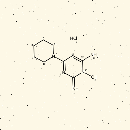 Cl.N=c1nc(N2CCCCC2)cc(N)n1O